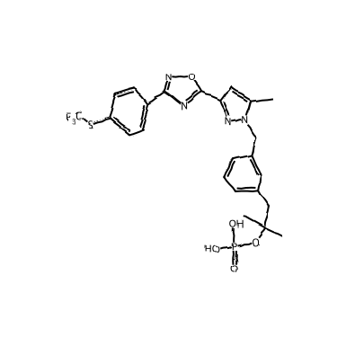 Cc1cc(-c2nc(-c3ccc(SC(F)(F)F)cc3)no2)nn1Cc1cccc(CC(C)(C)OP(=O)(O)O)c1